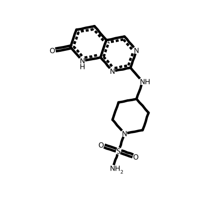 NS(=O)(=O)N1CCC(Nc2ncc3ccc(=O)[nH]c3n2)CC1